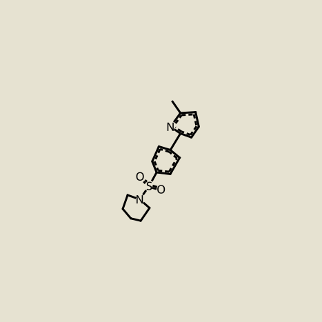 Cc1cccc(-c2ccc(S(=O)(=O)N3CCCCC3)cc2)n1